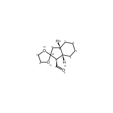 O=C[C@@H]1[C@H]2CCCC[C@H]2CC12OCCO2